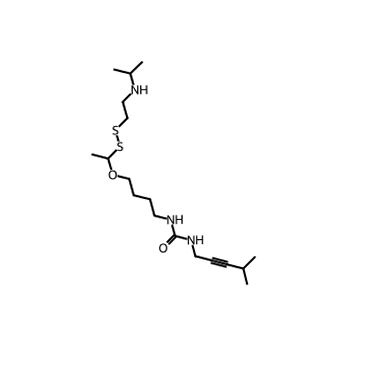 CC(C)C#CCNC(=O)NCCCCOC(C)SSCCNC(C)C